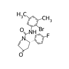 Cc1cc(C)c(Br)c(NC(=O)N2C=CC(=O)C[C@H]2c2ccc(F)cc2)c1